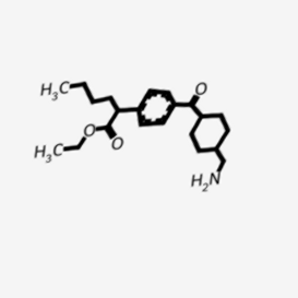 CCCCC(C(=O)OCC)c1ccc(C(=O)C2CCC(CN)CC2)cc1